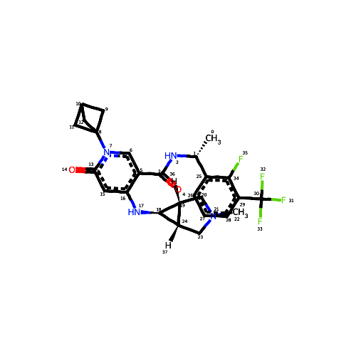 C[C@@H](NC(=O)c1cn(C23CC(C2)C3)c(=O)cc1N[C@H]1[C@@H]2CN(C)C[C@@H]21)c1cccc(C(F)(F)F)c1F